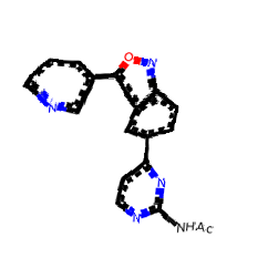 CC(=O)Nc1nccc(-c2ccc3noc(-c4cccnc4)c3c2)n1